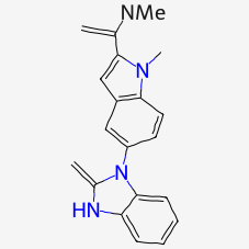 C=C(NC)c1cc2cc(N3C(=C)Nc4ccccc43)ccc2n1C